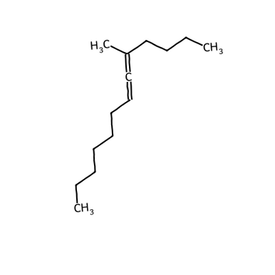 CCCCCCC=C=C(C)CCCC